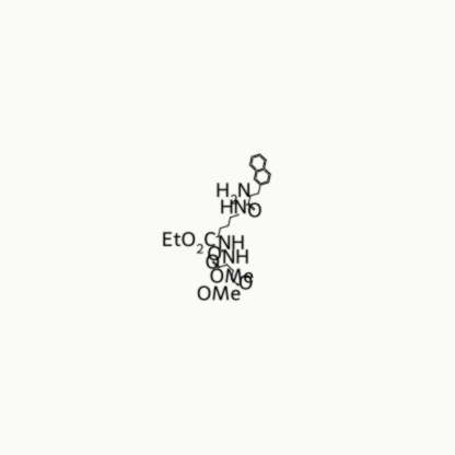 CCOC(=O)C(CCCCNC(=O)C(N)Cc1ccc2ccccc2c1)NC(=O)NC(CCC(=O)OC)C(=O)OC